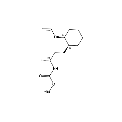 C=CO[C@H]1CCCC[C@H]1CC[C@@H](C)NC(=O)OC(C)(C)C